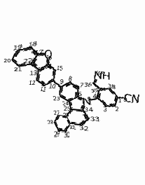 N#Cc1ccc(-n2c3ccc(-c4ccc5c(c4)oc4ccccc45)cc3c3c4ccccc4ccc32)c(C=N)c1